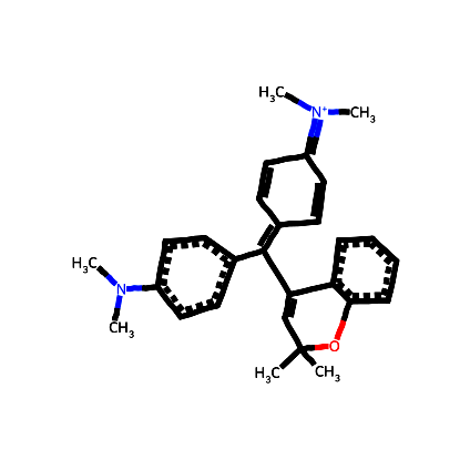 CN(C)c1ccc(C(C2=CC(C)(C)Oc3ccccc32)=C2C=CC(=[N+](C)C)C=C2)cc1